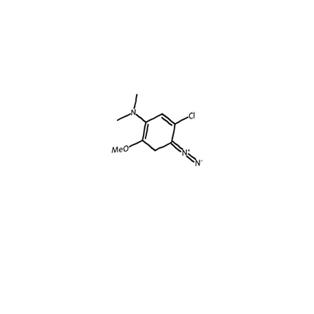 COC1=C(N(C)C)C=C(Cl)C(=[N+]=[N-])C1